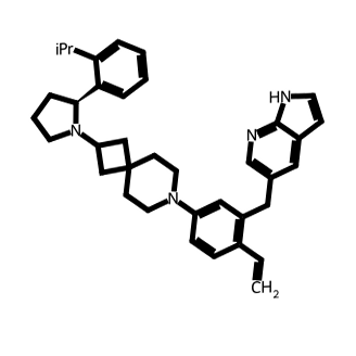 C=Cc1ccc(N2CCC3(CC2)CC(N2CCC[C@H]2c2ccccc2C(C)C)C3)cc1Cc1cnc2[nH]ccc2c1